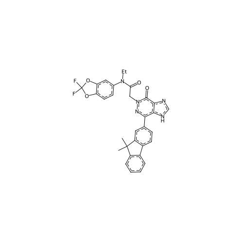 CCN(C(=O)Cn1nc(-c2ccc3c(c2)C(C)(C)c2ccccc2-3)c2[nH]cnc2c1=O)c1ccc2c(c1)OC(F)(F)O2